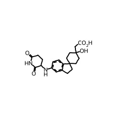 O=C(O)CC1(O)CCC2(CCc3cc(NC4CCC(=O)NC4=O)ccc32)CC1